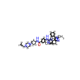 COc1cc(C(=O)N[C@H]2CC[C@H](N3CCN(CC4CC4)CC3)CC2)ccc1Nc1ncc2c(n1)-c1c(nn(C)c1-c1ccccc1C)CC2